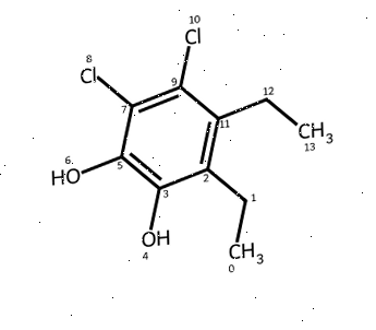 CCc1c(O)c(O)c(Cl)c(Cl)c1CC